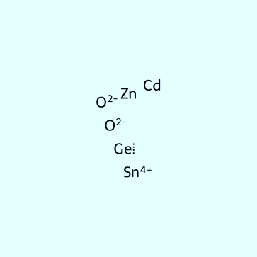 [Cd].[Ge].[O-2].[O-2].[Sn+4].[Zn]